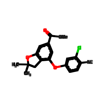 [C-]#[N+]c1ccc(Oc2cc(C(=O)OC)cc3c2CC(C)(C)O3)cc1Cl